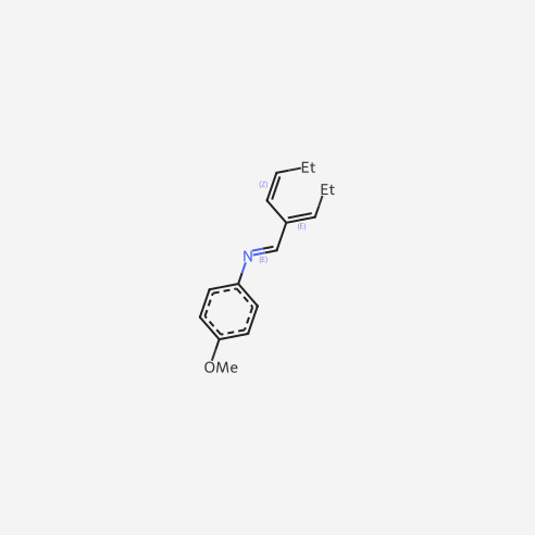 CC\C=C/C(/C=N/c1ccc(OC)cc1)=C\CC